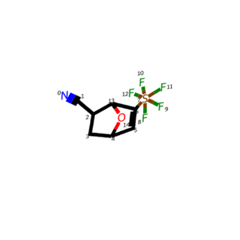 N#CC1CC2C=C(S(F)(F)(F)(F)F)C1O2